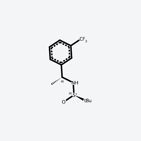 C[C@@H](N[S@+]([O-])C(C)(C)C)c1cccc(C(F)(F)F)c1